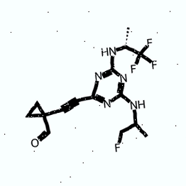 CC(CF)Nc1nc(C#CC2(C=O)CC2)nc(N[C@H](C)C(F)(F)F)n1